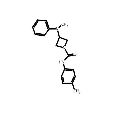 Cc1ccc(NC(=O)N2CC(N(C)c3ccccc3)C2)cc1